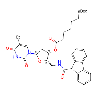 CCCCCCCCCCCCCCCC(=O)O[C@H]1C[C@H](n2cc(CC)c(=O)[nH]c2=O)O[C@@H]1CNC(=O)C1c2ccccc2-c2ccccc21